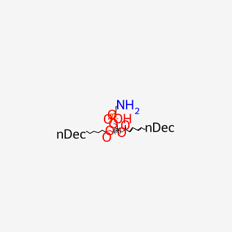 CCCCCCCCCCCC=CC=CC(=O)O[C@H](COC(=O)CCCCCCCCCCCCCCC)COP(=O)(O)OCCN